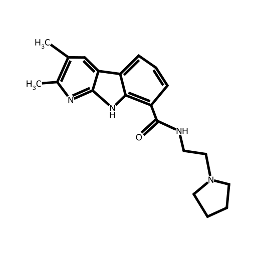 Cc1cc2c(nc1C)[nH]c1c(C(=O)NCCN3CCCC3)cccc12